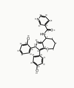 O=C(NC1CCCOc2c1nn(-c1ccccc1Cl)c2-c1ccc(Cl)cc1)c1cccnc1